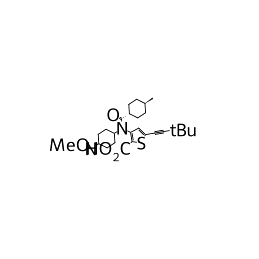 CON=C1CCC(N(c2cc(C#CC(C)(C)C)sc2C(=O)O)C(=O)[C@H]2CC[C@H](C)CC2)CC1